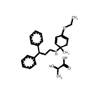 CC(O)C(=O)O.CCOC1=CCC(C)(NCCC(c2ccccc2)c2ccccc2)C=C1